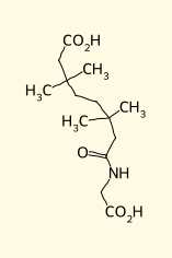 CC(C)(CCC(C)(C)CC(=O)NCC(=O)O)CC(=O)O